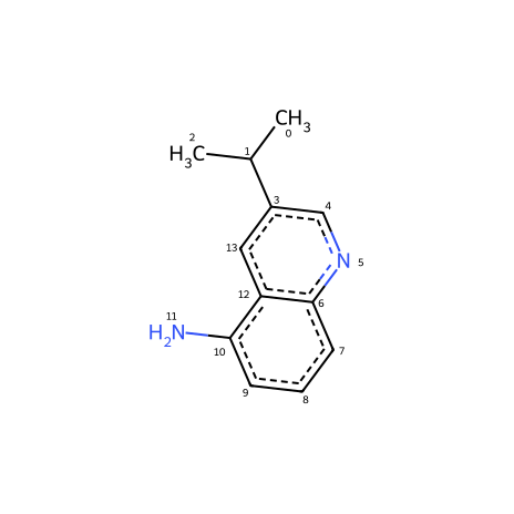 CC(C)c1cnc2cccc(N)c2c1